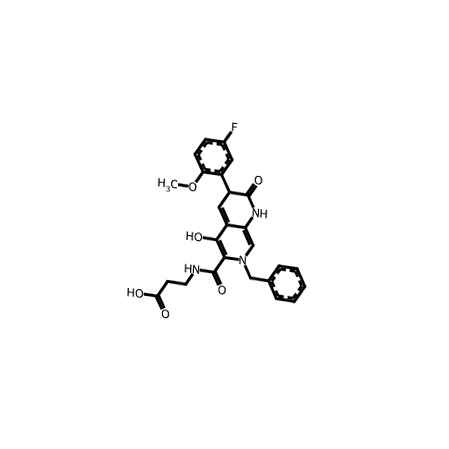 COc1ccc(F)cc1C1C=C2C(=CN(Cc3ccccc3)C(C(=O)NCCC(=O)O)=C2O)NC1=O